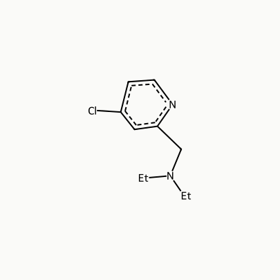 CCN(CC)Cc1cc(Cl)ccn1